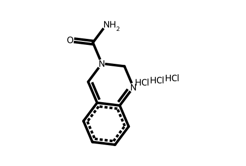 Cl.Cl.Cl.NC(=O)N1C=c2ccccc2=NC1